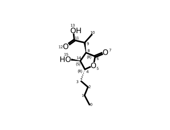 CCCC[C@H]1OC(=O)[C@H](C(C)C(=O)O)[C@@H]1O